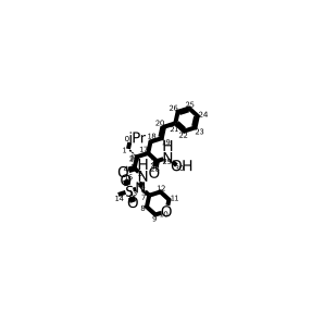 CC(C)C[C@@H](C(=O)NN(C1CCOCC1)S(C)(=O)=O)C(CC=Cc1ccccc1)C(=O)NO